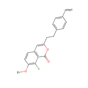 CCCCCCCc1ccc(CCc2cc3ccc(OCC)c(F)c3c(=O)o2)cc1